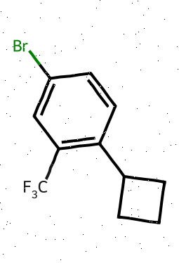 FC(F)(F)c1cc(Br)ccc1C1CCC1